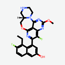 CCc1c(F)ccc2cc(O)cc(-c3nc4c5c(nc(OC)nc5c3F)N3CCNC[C@H]3CO4)c12